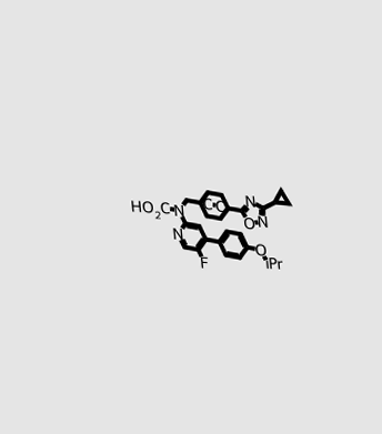 CC(C)Oc1ccc(-c2cc(N(CC34CCC(c5nc(C6CC6)no5)(CC3)CC4)C(=O)O)ncc2F)cc1